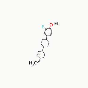 C=CC1CCC(C2CCC(c3ccc(OCC)c(F)c3)CC2)CC1